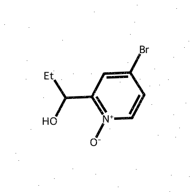 CCC(O)c1cc(Br)cc[n+]1[O-]